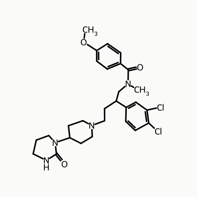 COc1ccc(C(=O)N(C)CC(CCN2CCC(N3CCCNC3=O)CC2)c2ccc(Cl)c(Cl)c2)cc1